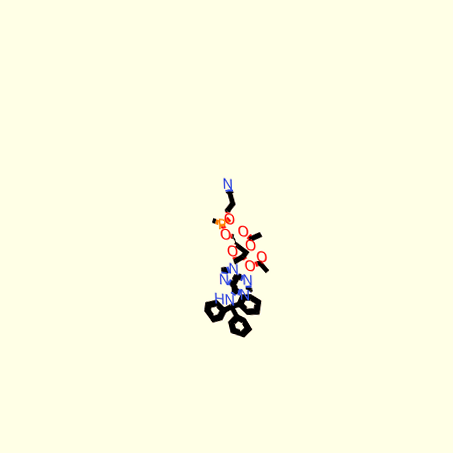 CC(=O)OC1[C@@H](OC(C)=O)[C@@H](COP(C)OCCC#N)O[C@H]1n1cnc2c(NC(c3ccccc3)(c3ccccc3)c3ccccc3)ncnc21